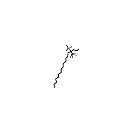 CCCCCCCCCCCCCCC(CCC)(C(=O)[O-])[N+](C)(C)C